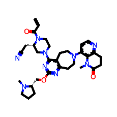 C=CC(=O)N1CCN(c2nc(OC[C@@H]3CCCN3C)nc3c2CCN(c2ccnc4c2N(C)C(=O)CC4)CC3)C[C@@H]1CC#N